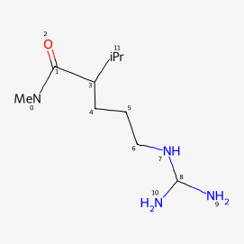 CNC(=O)C(CCCNC(N)N)C(C)C